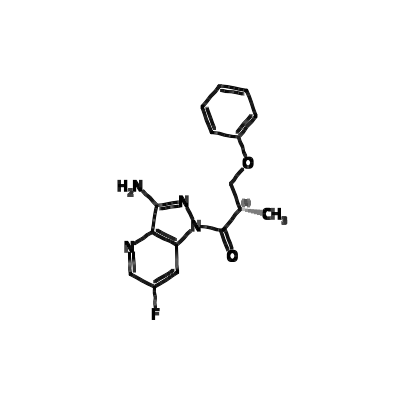 C[C@@H](COc1ccccc1)C(=O)n1nc(N)c2ncc(F)cc21